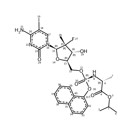 CC(C)OC(=O)[C@@H](C)N[P@@](=O)(OC[C@H]1O[C@@H](n2cc(I)c(N)nc2=O)[C@](C)(F)[C@@H]1O)Oc1cccc2ccccc12